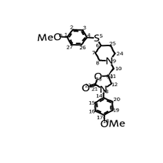 COc1ccc(SC2CCN(C[C@H]3CN(c4ccc(OC)cc4)C(=O)O3)CC2)cc1